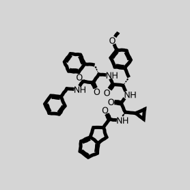 COc1ccc(C[C@H](NC(=O)[C@@H](NC(=O)C2Cc3ccccc3C2)C2CC2)C(=O)N[C@@H](Cc2ccccc2)C(=O)C(=O)NCc2ccccc2)cc1